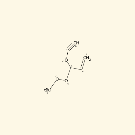 C#COC(C=C)OOC(C)(C)C